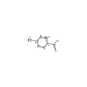 C=C(C)c1ccc(CC)cn1